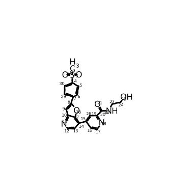 CS(=O)(=O)c1ccc(-c2cc3nccc(-c4ccnc(C(=O)NCCO)c4)c3o2)cc1